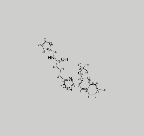 Cc1ccc2cc(-c3noc(CCCC(O)NCc4ccco4)n3)c(OC(C)(C)C)nc2c1